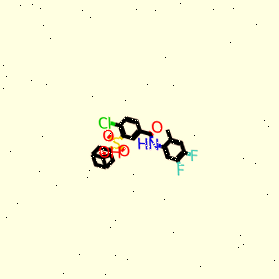 Cc1cc(F)c(F)cc1NC(=O)c1ccc(Cl)c(S(=O)(=O)C2CC3CC(C2)C3(C)O)c1